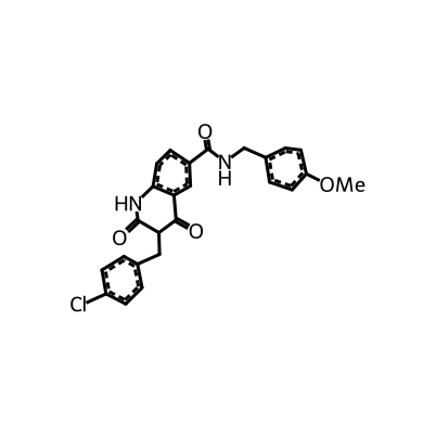 COc1ccc(CNC(=O)c2ccc3c(c2)C(=O)C(Cc2ccc(Cl)cc2)C(=O)N3)cc1